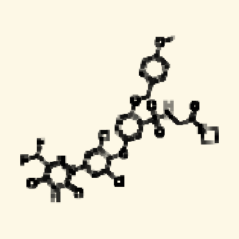 COc1ccc(COc2ccc(Oc3c(Cl)cc(-n4nc(C(F)F)c(=O)[nH]c4=O)cc3Cl)cc2S(=O)(=O)NCC(=O)N2CCC2)cc1